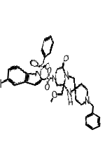 COCC12CN(S(=O)(=O)c3cc4cc(Cl)ccc4n3S(=O)(=O)c3ccccc3)CC(=O)N1CC1(CCN(Cc3ccccc3)CC1)N2